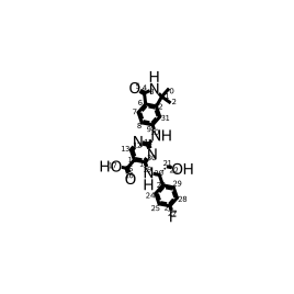 CC1(C)NC(=O)c2ccc(Nc3ncc(C(=O)O)c(N[C@H](CO)c4ccc(F)cc4)n3)cc21